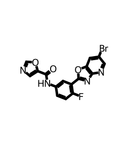 O=C(Nc1ccc(F)c(-c2nc3ncc(Br)cc3o2)c1)c1cnco1